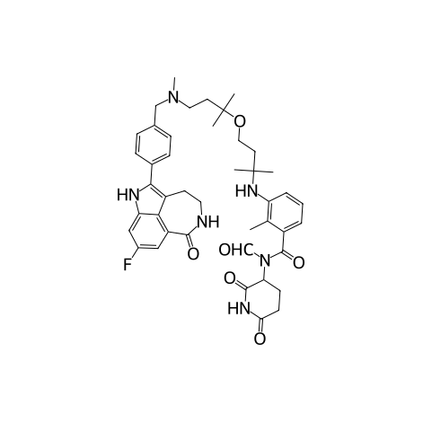 Cc1c(NC(C)(C)CCOC(C)(C)CCN(C)Cc2ccc(-c3[nH]c4cc(F)cc5c4c3CCNC5=O)cc2)cccc1C(=O)N(C=O)C1CCC(=O)NC1=O